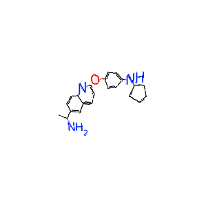 CC(N)c1ccc2nc(Oc3ccc(NC4CCCC4)cc3)ccc2c1